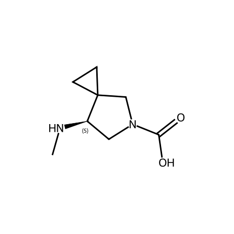 CN[C@@H]1CN(C(=O)O)CC12CC2